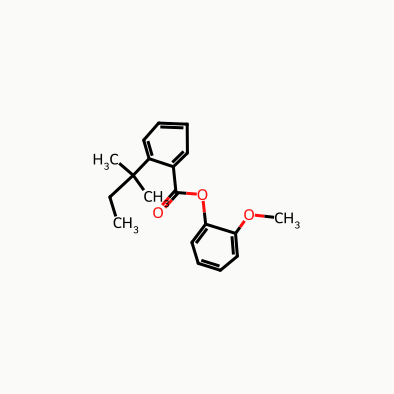 CCC(C)(C)c1ccccc1C(=O)Oc1ccccc1OC